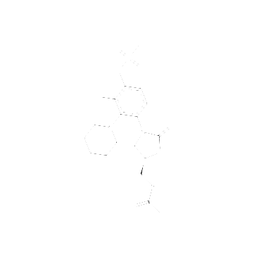 CC(=O)NC[C@H]1CN(c2ccc(OS(C)(=O)=O)c(F)c2N2CCCCC2)C(=O)O1